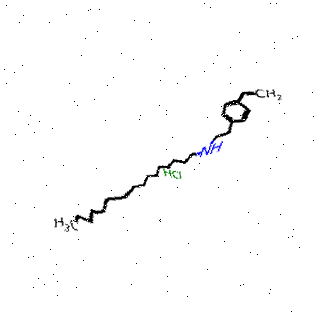 C=Cc1ccc(CCNCCCCCCCCCCCCCCCC)cc1.Cl